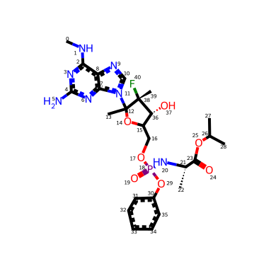 CNc1nc(N)nc2c1ncn2C1(C)OC(CO[P@](=O)(N[C@@H](C)C(=O)OC(C)C)Oc2ccccc2)[C@@H](O)[C@@]1(C)F